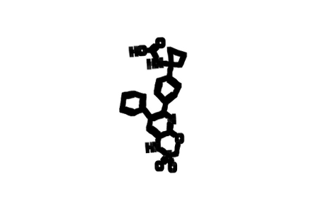 O=C(O)NC1(c2ccc(-c3nc4c(cc3-c3ccccc3)NS(=O)(=O)CO4)cc2)CCC1